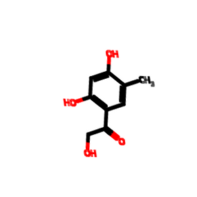 Cc1cc(C(=O)CO)c(O)cc1O